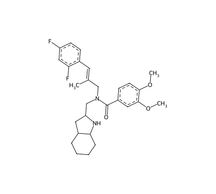 COc1ccc(C(=O)N(CC(C)=Cc2ccc(F)cc2F)CC2CC3CCCCC3N2)cc1OC